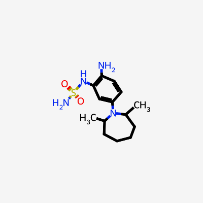 CC1CCCCC(C)N1c1ccc(N)c(NS(N)(=O)=O)c1